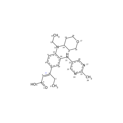 CC/C(=C\C(=O)O)c1ccc(N(CC)C2CCOCC2)c(Nc2cnc(C)nc2)c1